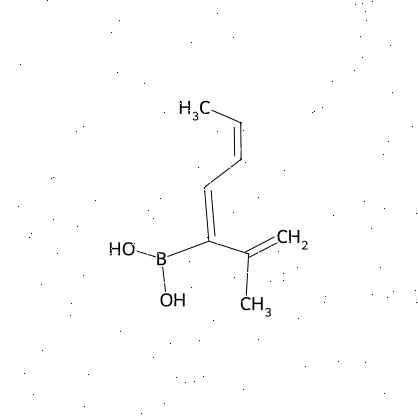 C=C(C)/C(=C\C=C/C)B(O)O